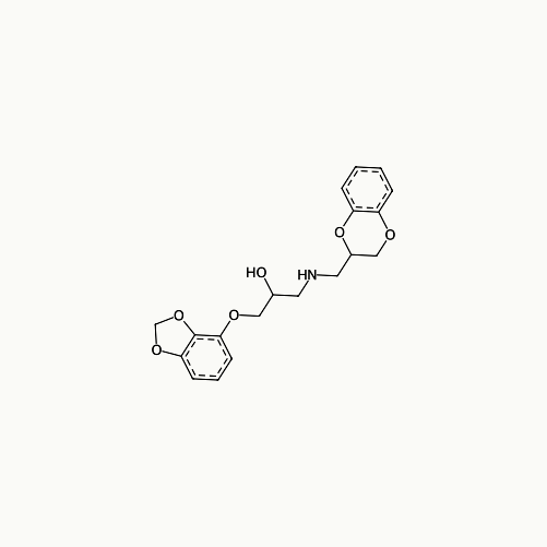 OC(CNCC1COc2ccccc2O1)COc1cccc2c1OCO2